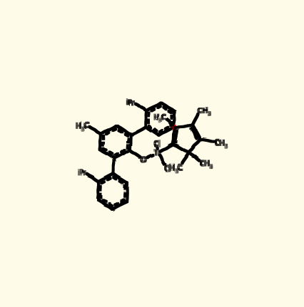 CC1=C(C)C(C)(C)[C]([Ti]([Cl])([Cl])[O]c2c(-c3ccccc3C(C)C)cc(C)cc2-c2ccccc2C(C)C)=C1C